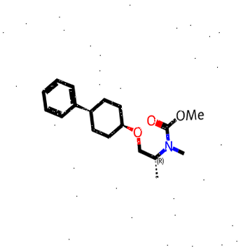 COC(=O)N(C)[C@H](C)CO[C@H]1CC[C@@H](c2ccccc2)CC1